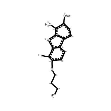 COc1ccc2c(oc3c(I)c(OCCCC(C)C)ccc32)c1C